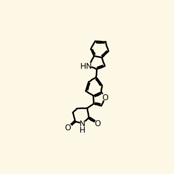 O=C1CCC(c2coc3cc(-c4cc5ccccc5[nH]4)ccc23)C(=O)N1